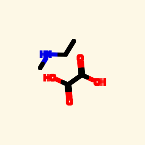 CCNC.O=C(O)C(=O)O